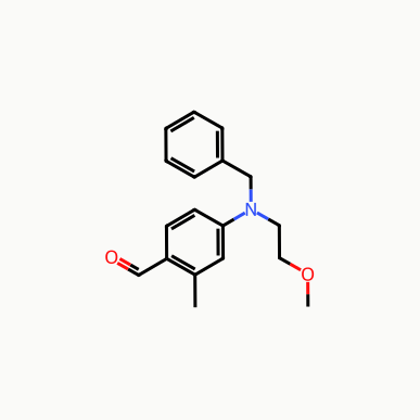 COCCN(Cc1ccccc1)c1ccc(C=O)c(C)c1